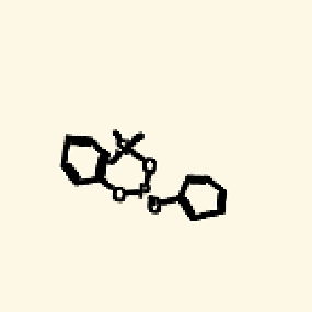 C[Si](C)(C)OP(Oc1ccccc1)Oc1ccccc1